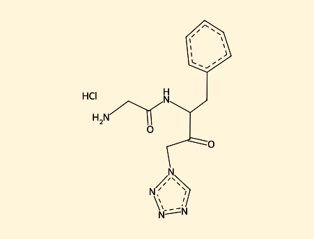 Cl.NCC(=O)NC(Cc1ccccc1)C(=O)Cn1cnnn1